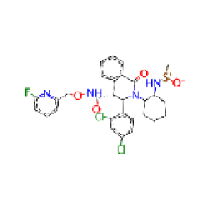 C[S+]([O-])N[C@H]1CCCCC1N1C(=O)c2ccccc2[C@@H](C(=O)NOCc2cccc(F)n2)[C@@H]1c1ccc(Cl)cc1Cl